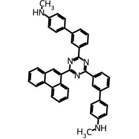 CNc1ccc(-c2cccc(-c3nc(-c4cccc(-c5ccc(NC)cc5)c4)nc(-c4cc5ccccc5c5ccccc45)n3)c2)cc1